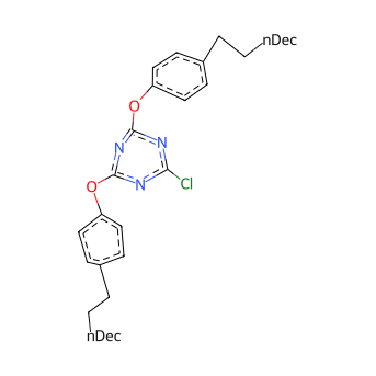 CCCCCCCCCCCCc1ccc(Oc2nc(Cl)nc(Oc3ccc(CCCCCCCCCCCC)cc3)n2)cc1